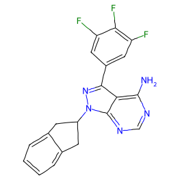 Nc1ncnc2c1c(-c1cc(F)c(F)c(F)c1)nn2C1Cc2ccccc2C1